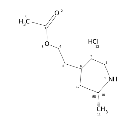 CC(=O)OCCC1CCN[C@H](C)C1.Cl